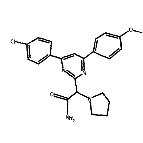 COc1ccc(-c2cc(-c3ccc(Cl)cc3)nc(C(C(N)=O)N3CCCC3)n2)cc1